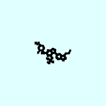 [2H]C([2H])([2H])Oc1nc(N[C@H]2CCN(C)C[C@H]2F)nn2ccc(-c3ccc4nnn(CCF)c4c3)c12